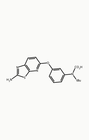 CC(C)(C)N(C(=O)O)c1cccc(Oc2ccc3nc(N)sc3n2)c1